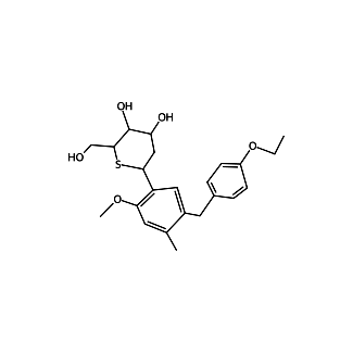 CCOc1ccc(Cc2cc(C3CC(O)C(O)C(CO)S3)c(OC)cc2C)cc1